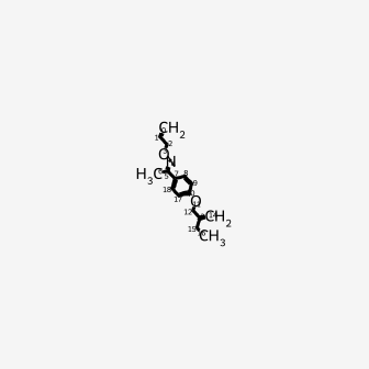 C=CCO/N=C(\C)c1ccc(OCC(=C)CC)cc1